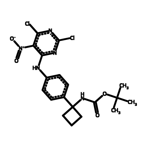 CC(C)(C)OC(=O)NC1(c2ccc(Nc3nc(Cl)nc(Cl)c3[N+](=O)[O-])cc2)CCC1